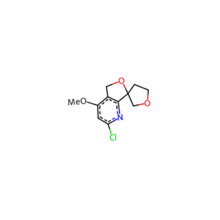 COc1cc(Cl)nc2c1COC21CCOC1